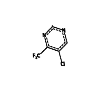 FC(F)(F)c1n[c]ncc1Cl